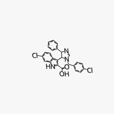 O=C(O)c1[nH]c2cc(Cl)ccc2c1C1C(c2ccccc2)N=CN1Cc1ccc(Cl)cc1